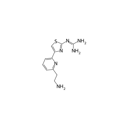 NCCc1cccc(-c2csc(N=C(N)N)n2)n1